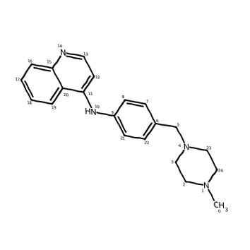 CN1CCN(Cc2ccc(Nc3ccnc4ccccc34)cc2)CC1